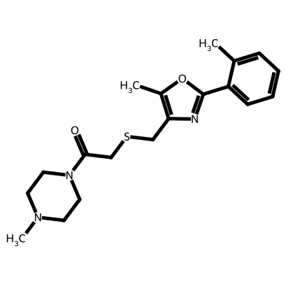 Cc1ccccc1-c1nc(CSCC(=O)N2CCN(C)CC2)c(C)o1